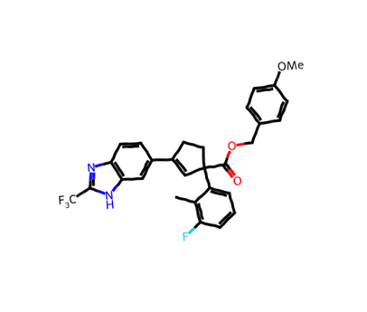 COc1ccc(COC(=O)C2(c3cccc(F)c3C)C=C(c3ccc4nc(C(F)(F)F)[nH]c4c3)CC2)cc1